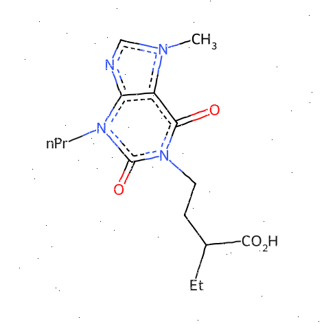 CCCn1c(=O)n(CCC(CC)C(=O)O)c(=O)c2c1ncn2C